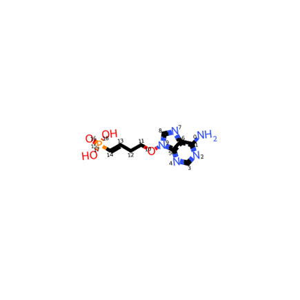 Nc1ncnc2c1ncn2OCC/C=C/P(=O)(O)O